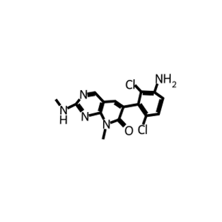 CNc1ncc2cc(-c3c(Cl)ccc(N)c3Cl)c(=O)n(C)c2n1